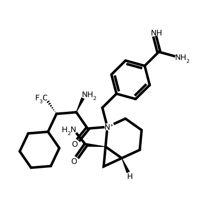 N=C(N)c1ccc(C[N+]2(C(=O)[C@H](N)[C@H](C3CCCCC3)C(F)(F)F)CCC[C@@H]3C[C@@]32C(N)=O)cc1